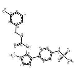 Cn1nnc(-c2ccc(NS(C)(=O)=O)cn2)c1NC(=O)OCc1cccc(Cl)c1